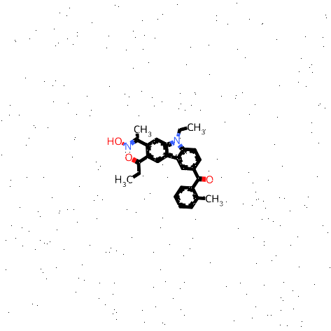 CCC(=O)c1cc2c3cc(C(=O)c4ccccc4C)ccc3n(CC)c2cc1C(C)=NO